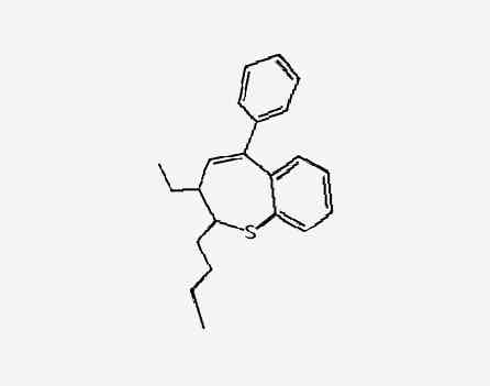 CCCCC1Sc2ccccc2C(c2ccccc2)=CC1CC